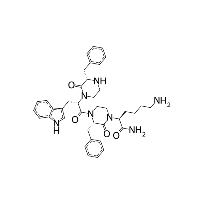 NCCCC[C@@H](C(N)=O)N1CCN(C(=O)[C@H](Cc2c[nH]c3ccccc23)N2CCN[C@@H](Cc3ccccc3)C2=O)[C@@H](Cc2ccccc2)C1=O